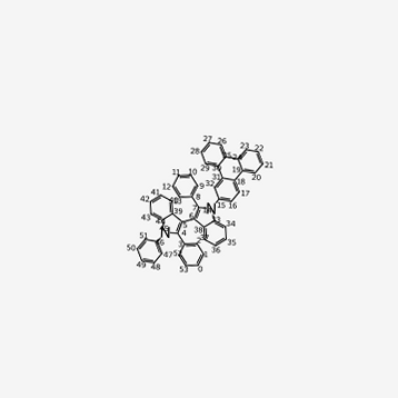 c1ccc(-c2c(-c3c(-c4ccccc4)n(-c4ccc5c6ccccc6c6ccccc6c5c4)c4ccccc34)c3ccccc3n2-c2ccccc2)cc1